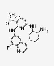 NC(=O)c1ncc(N[C@@H]2CCCC[C@@H]2N)nc1Nc1cc(F)c2ncccc2c1